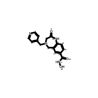 O=C1CN(Cc2ccncc2)Cc2cc(C(=O)NO)ccc2N1